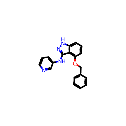 c1ccc(COc2cccc3[nH]nc(Nc4cccnc4)c23)cc1